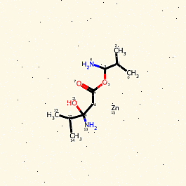 CC(C)C(N)OC(=O)CC(N)(O)C(C)C.[Zn]